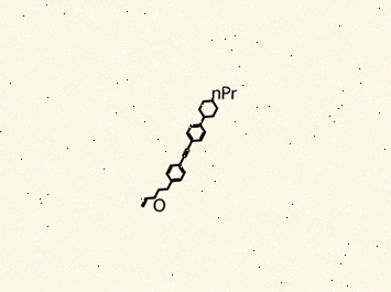 C=CC(=O)CCc1ccc(C#Cc2ccc(C3CCC(CCC)CC3)cc2)cc1